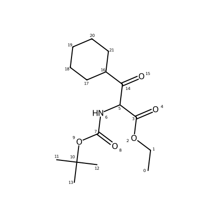 CCOC(=O)C(NC(=O)OC(C)(C)C)C(=O)C1CCCCC1